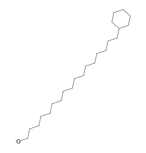 [O]CCCCCCCCCCCCCCCCCC1CCCCC1